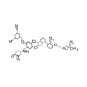 Cc1c(OCCCN2CC(C)(C)C2)cccc1-c1cccc2c1CC[C@@H]2Oc1cc(OCc2cc(C#N)cc(C#N)c2)c(CN[C@H]2CCC(=O)NC2)cc1Cl